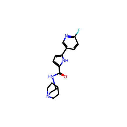 O=C(NC1CN2CCC1CC2)c1ccc(-c2ccc(F)nc2)[nH]1